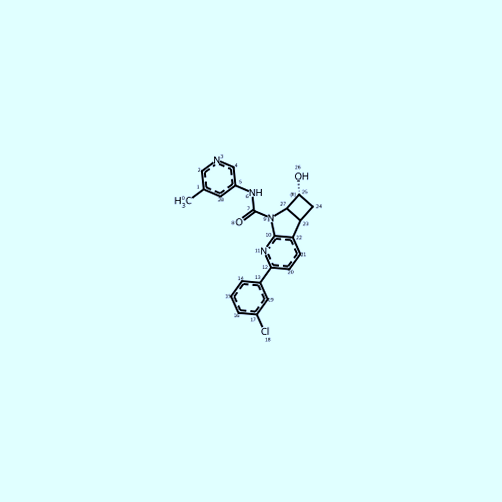 Cc1cncc(NC(=O)N2c3nc(-c4cccc(Cl)c4)ccc3C3C[C@@H](O)C32)c1